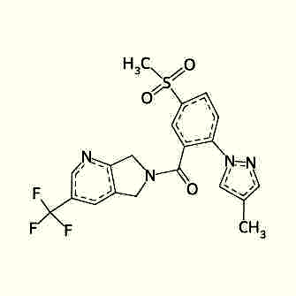 Cc1cnn(-c2ccc(S(C)(=O)=O)cc2C(=O)N2Cc3cc(C(F)(F)F)cnc3C2)c1